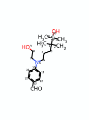 CC(C)(CCCN(CCO)c1ccc(C=O)cc1)[Si](C)(C)O